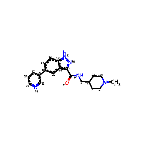 CN1CCC(CNC(=O)c2n[nH]c3ccc(-c4cccnc4)cc23)CC1